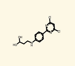 OC(O)CCNc1ccc(-c2nc(Cl)cc(Cl)n2)cc1